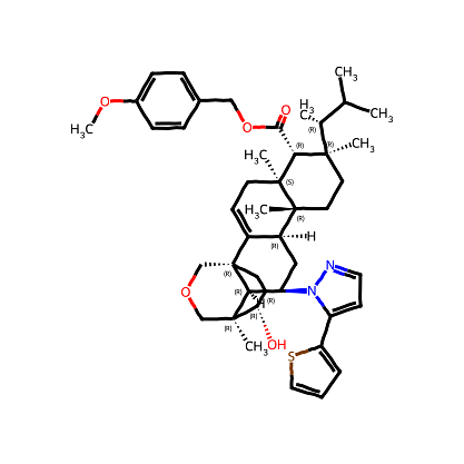 COc1ccc(COC(=O)[C@@H]2[C@@](C)([C@H](C)C(C)C)CC[C@]3(C)[C@H]4CC[C@@H]5[C@@]6(COC[C@]5(C)[C@@H](O)[C@H](n5nccc5-c5cccs5)C6)C4=CC[C@@]23C)cc1